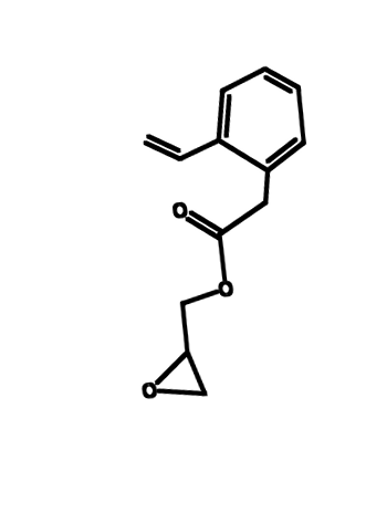 C=Cc1ccccc1CC(=O)OCC1CO1